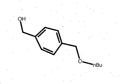 CCCCOCc1ccc(CO)cc1